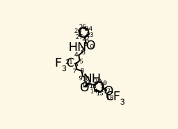 O=C(NCCCC(CCCNC(=O)c1ccc(OC(F)(F)F)cc1)C(F)(F)F)c1ccccc1